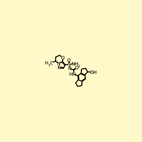 CC1CCOc2c(S(N)(=O)=NC(=O)Nc3c4c(cc5c3CCC5O)CCC4)cnn21